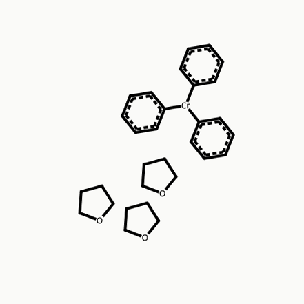 C1CCOC1.C1CCOC1.C1CCOC1.c1cc[c]([Cr]([c]2ccccc2)[c]2ccccc2)cc1